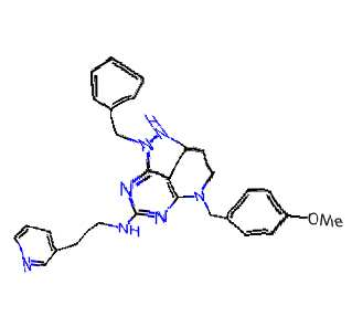 COc1ccc(CN2CCC3NN(Cc4ccccc4)c4nc(NCCc5cccnc5)nc2c43)cc1